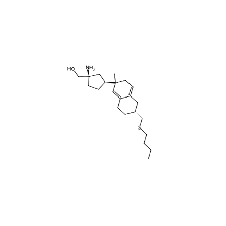 CCCCSC[C@@H]1CCC2=CC(C)([C@H]3CC[C@](N)(CO)C3)CC=C2C1